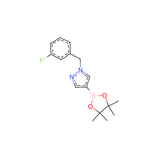 CC1(C)OB(c2cnn(Cc3cccc(F)c3)c2)OC1(C)C